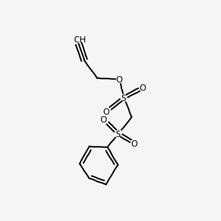 C#CCOS(=O)(=O)CS(=O)(=O)c1ccccc1